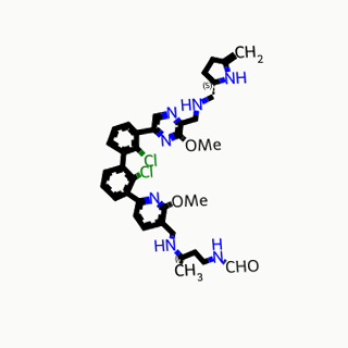 C=C1CC[C@@H](CNCc2ncc(-c3cccc(-c4cccc(-c5ccc(CN[C@H](C)CCNC=O)c(OC)n5)c4Cl)c3Cl)nc2OC)N1